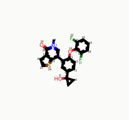 Cn1cc(-c2cc(C3(O)CC3)ccc2Oc2c(F)cccc2F)c2sccc2c1=O